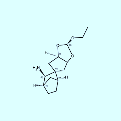 CCO[C@H]1OC2C[C@]3(C[C@H]2O1)[C@H]1CC[C@H](C1)[C@H]3N